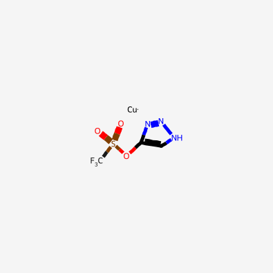 O=S(=O)(Oc1c[nH]nn1)C(F)(F)F.[Cu]